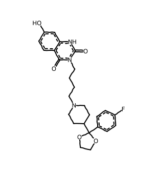 O=c1[nH]c2cc(O)ccc2c(=O)n1CCCCN1CCC(C2(c3ccc(F)cc3)OCCO2)CC1